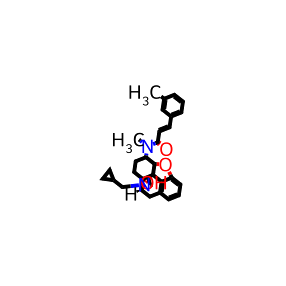 Cc1cccc(/C=C/C(=O)N(C)C2CC[C@@]3(O)[C@H]4Cc5cccc6c5[C@@]3(CCN4CC3CC3)C2O6)c1